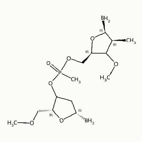 B[C@@H]1O[C@H](COP(C)(=O)OC2C[C@H](B)O[C@@H]2COC)C(OC)[C@@H]1C